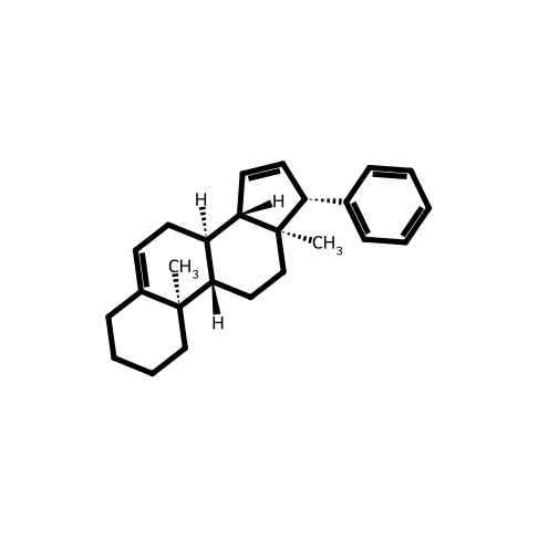 C[C@]12CC[C@H]3[C@@H](CC=C4CCCC[C@@]43C)[C@@H]1C=C[C@@H]2c1ccccc1